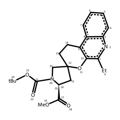 CCc1nc2ccccc2c2c1OC1(CC2)C[C@@H](C(=O)OC)N(C(=O)OC(C)(C)C)C1